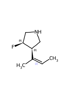 C/C=C(/C)[C@@H]1CNC[C@@H]1F